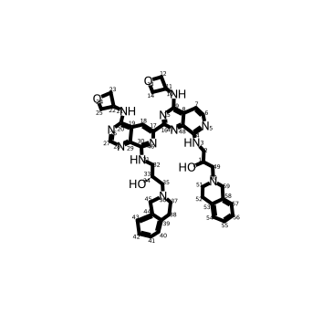 OC(CNc1nccc2c(NC3COC3)nc(-c3cc4c(NC5COC5)ncnc4c(NC[C@@H](O)CN4CCc5ccccc5C4)n3)nc12)CN1CCc2ccccc2C1